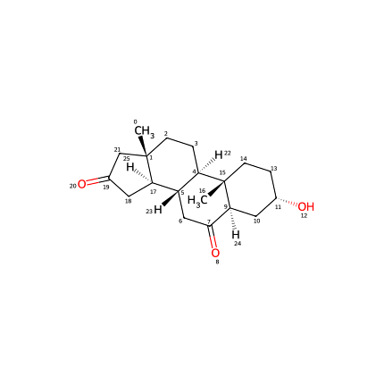 C[C@@]12CC[C@@H]3[C@H](CC(=O)[C@@H]4C[C@@H](O)CC[C@@]34C)[C@H]1CC(=O)C2